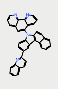 c1ccc2nc(-c3ccc4c(c3)c3c5ccccc5ccc3n4-c3cc4cccnc4c4ncccc34)ccc2c1